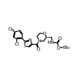 CC(C)(C)OC(=O)NC[C@H]1CN(C(=O)c2csc(-c3ccc(Cl)cc3Cl)n2)CCO1